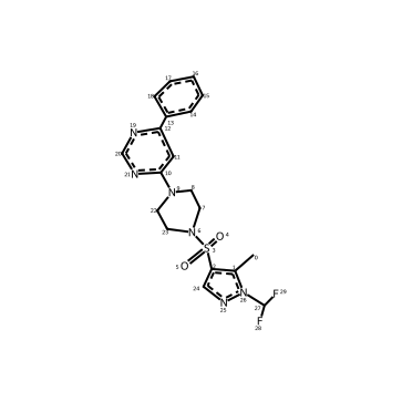 Cc1c(S(=O)(=O)N2CCN(c3cc(-c4ccccc4)ncn3)CC2)cnn1C(F)F